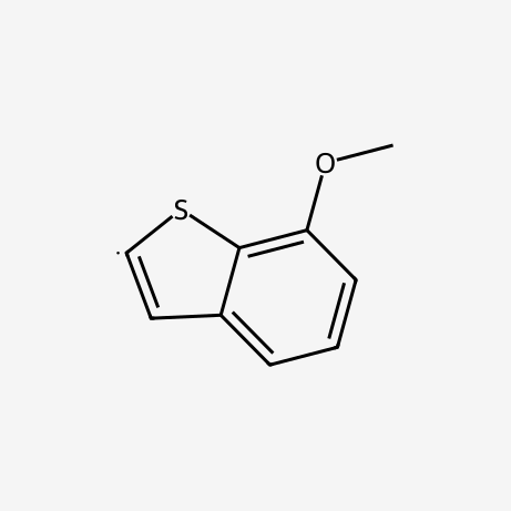 COc1cccc2c[c]sc12